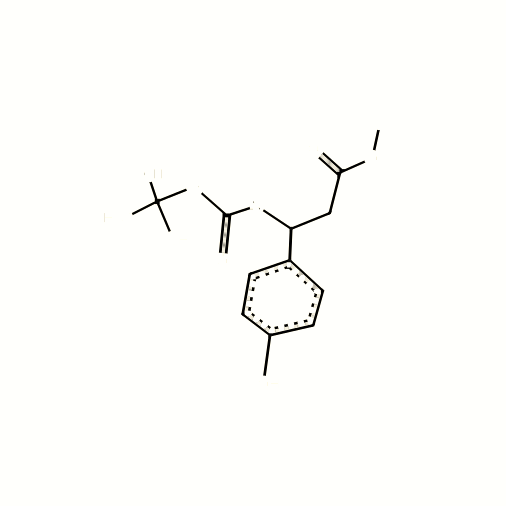 COC(=O)CC(NC(=O)OC(C)(C)C)c1ccc(O)cc1